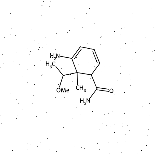 COC(C)C1(C)C(N)=CC=CC1C(N)=O